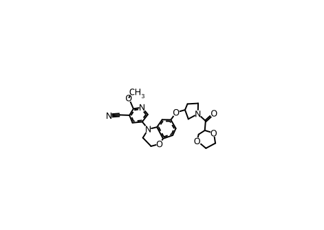 COc1ncc(N2CCOc3ccc(OC4CCN(C(=O)C5COCCO5)C4)cc32)cc1C#N